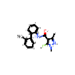 Cc1nn(C)c(F)c1C(=O)Nc1ccccc1-c1ccccc1C#N